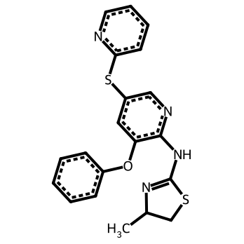 CC1CSC(Nc2ncc(Sc3ccccn3)cc2Oc2ccccc2)=N1